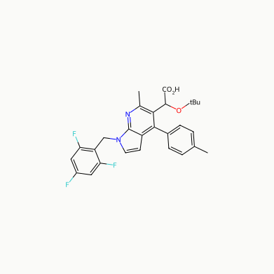 Cc1ccc(-c2c(C(OC(C)(C)C)C(=O)O)c(C)nc3c2ccn3Cc2c(F)cc(F)cc2F)cc1